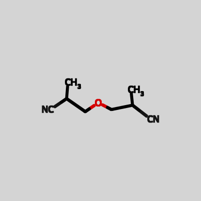 CC(C#N)COCC(C)C#N